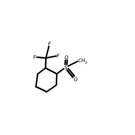 CS(=O)(=O)C1CCCCC1C(F)(F)F